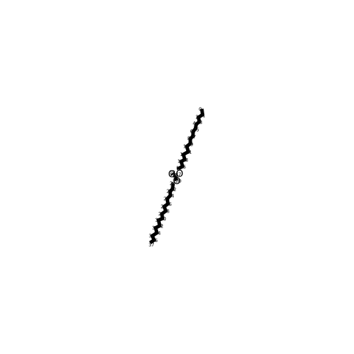 CCCCCCCCCCCCCCCCCOS(=O)OCCCCCCCCCCCCCCCCC